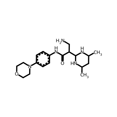 CC1CC(C)NC(C(CN)C(=O)Nc2ccc(N3CCOCC3)cc2)N1